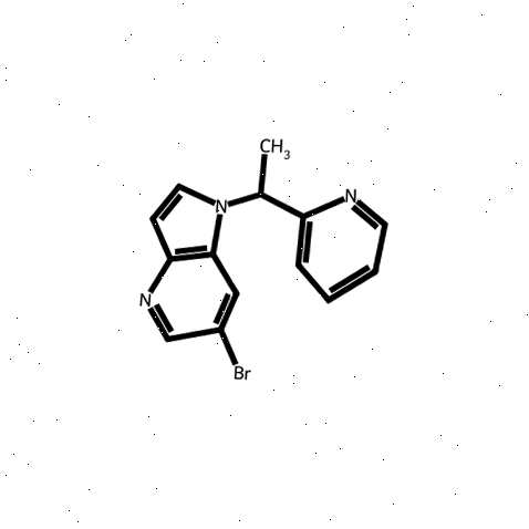 CC(c1ccccn1)n1ccc2ncc(Br)cc21